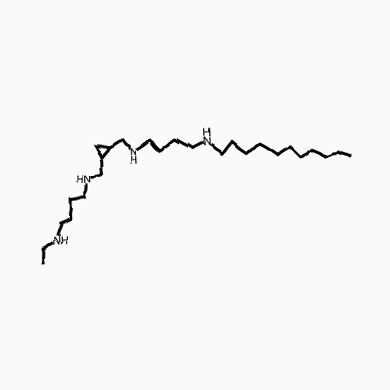 CCCCCCCCCCCNCCCCNCC1CC1CNCCCCNCC